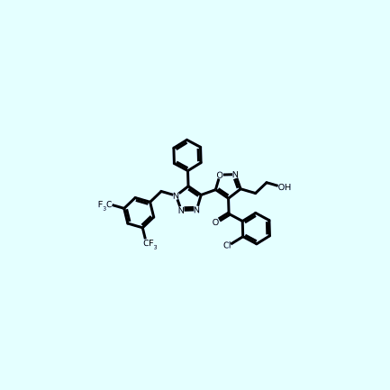 O=C(c1ccccc1Cl)c1c(CCO)noc1-c1nnn(Cc2cc(C(F)(F)F)cc(C(F)(F)F)c2)c1-c1ccccc1